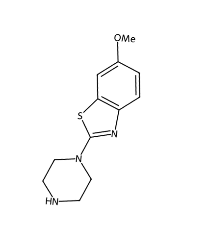 COc1ccc2nc(N3CCNCC3)sc2c1